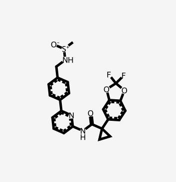 C[S+]([O-])NCc1ccc(-c2cccc(NC(=O)C3(c4ccc5c(c4)OC(F)(F)O5)CC3)n2)cc1